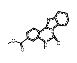 COC(=O)c1ccc2c(c1)[nH]c(=O)n1c3ccccc3nc21